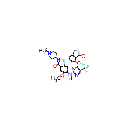 COc1cc(C(=O)NC2CCN(C)CC2)c(F)cc1Nc1ncc(C(F)(F)F)c(Oc2cccc3c2C(=O)CC3)n1